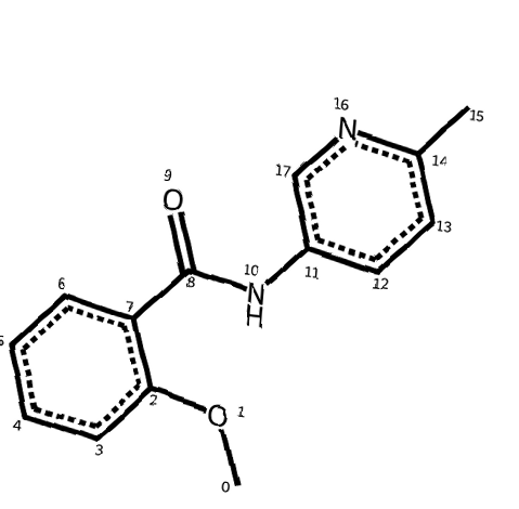 COc1ccccc1C(=O)Nc1ccc(C)nc1